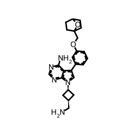 NC[C@H]1C[C@@H](n2cc(-c3cccc(OCC45CCC(CC4)O5)c3)c3c(N)ncnc32)C1